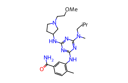 COCCN1CCC(Nc2nc(Nc3cc(C(N)=O)ccc3C)nc(N(C)CC(C)C)n2)C1